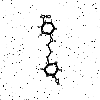 O=Cc1ccc(OCCCc2ccc(Cl)cc2)cc1